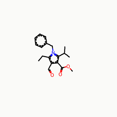 CCc1c(C=O)c(C(=O)OC)c(C(C)C)n1Cc1ccccc1